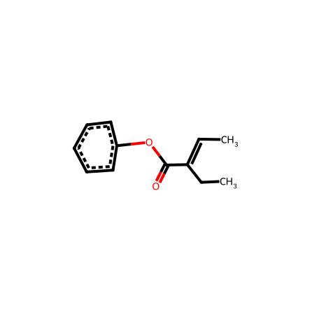 CC=C(CC)C(=O)Oc1ccccc1